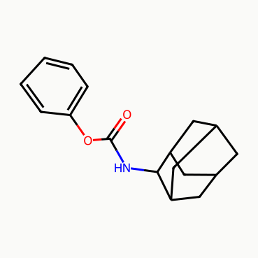 O=C(NC1C2CC3CC(C2)CC1C3)Oc1ccccc1